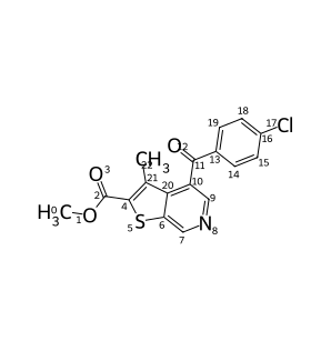 COC(=O)c1sc2cncc(C(=O)c3ccc(Cl)cc3)c2c1C